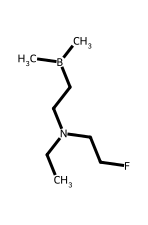 CCN(CCF)CCB(C)C